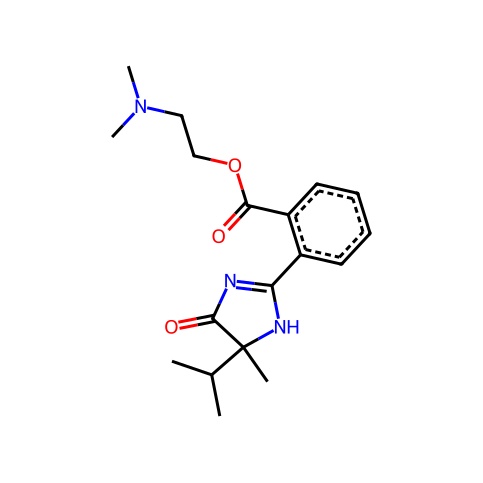 CC(C)C1(C)NC(c2ccccc2C(=O)OCCN(C)C)=NC1=O